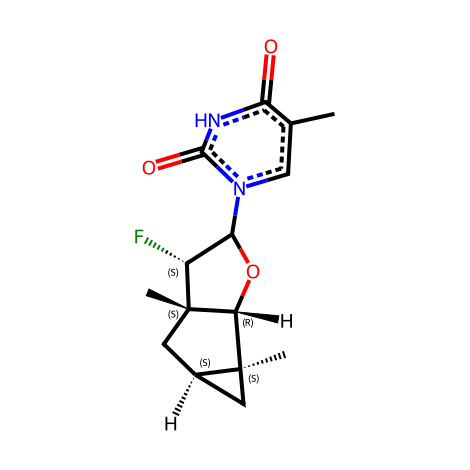 Cc1cn(C2O[C@@H]3[C@@]4(C)C[C@H]4C[C@]3(C)[C@@H]2F)c(=O)[nH]c1=O